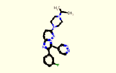 CC(C)N1CCN(c2ccc3nc(-c4cccc(F)c4)c(-c4ccnnc4)n3n2)CC1